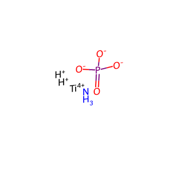 N.O=P([O-])([O-])[O-].[H+].[H+].[Ti+4]